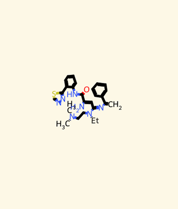 C=C(/N=C(\C=C(/N)C(=O)Nc1ccccc1-c1nncs1)N(CC)CCN(C)C)c1ccccc1